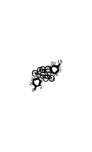 Cc1ccc(S(=O)(=O)OS(=O)(=O)S(=O)(=O)c2ccc(C)cc2)cc1